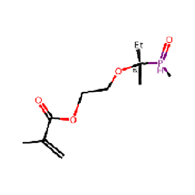 C=C(C)C(=O)OCCO[C@](C)(CC)[PH](C)=O